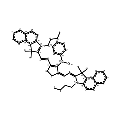 CCCCN1/C(=C\C=C2\CCC(/C=C/C3=[N+](CCCC)c4ccc5ccccc5c4C3(C)C)=C2[S+]([O-])c2ccccc2)C(C)(C)c2c1ccc1ccccc21